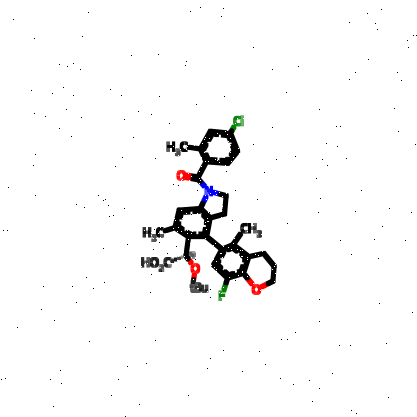 Cc1cc(Cl)ccc1C(=O)N1CCc2c1cc(C)c([C@H](OC(C)(C)C)C(=O)O)c2-c1cc(F)c2c(c1C)CCCO2